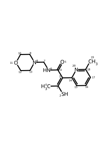 CC(S)=C(C(=O)NCN1CCOCC1)c1cccc(C)n1